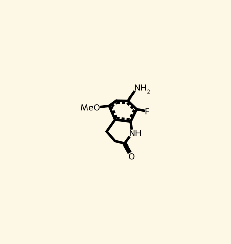 COc1cc(N)c(F)c2c1CCC(=O)N2